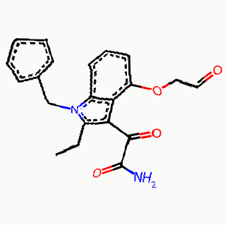 CCc1c(C(=O)C(N)=O)c2c(OCC=O)cccc2n1Cc1ccccc1